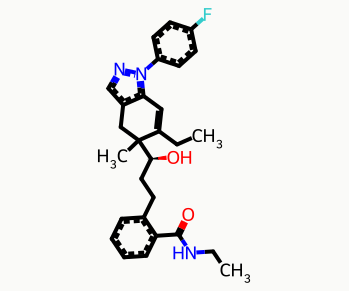 CCNC(=O)c1ccccc1CC[C@H](O)C1(C)Cc2cnn(-c3ccc(F)cc3)c2C=C1CC